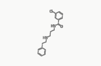 O=C(NCCCNCCc1ccccc1)c1cccc(Cl)c1